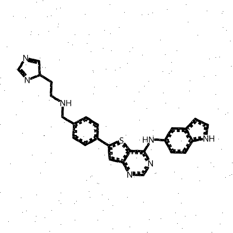 C1=NC=NC1CCNCc1ccc(-c2cc3ncnc(Nc4ccc5[nH]ccc5c4)c3s2)cc1